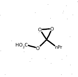 CCCC1(OC(=O)O)OO1